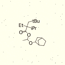 CCC(CC(C)(C)C)(C(=O)OC(C)OC1CC2CCC1C2)C(C)C